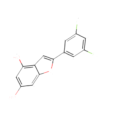 Oc1cc(O)c2cc(-c3cc(F)cc(F)c3)oc2c1